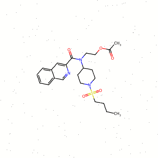 CCCCS(=O)(=O)N1CCC(N(CCOC(C)=O)C(=O)c2cc3ccccc3cn2)CC1